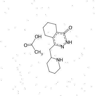 CC(=O)O.O=c1[nH]nc(CC2CCCCN2)c2c1CCCC2